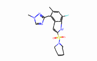 Cc1cc(F)c2[nH]c(S(=O)(=O)N3CCCC3)cc2c1-c1ncn(C)n1